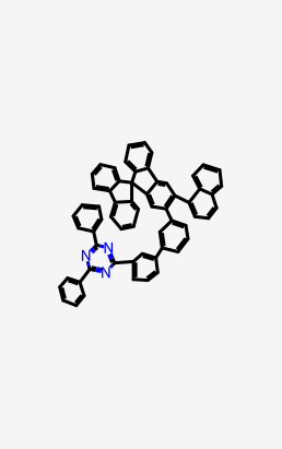 c1ccc(-c2nc(-c3ccccc3)nc(-c3cccc(-c4cccc(-c5cc6c(cc5-c5cccc7ccccc57)-c5ccccc5C65c6ccccc6-c6ccccc65)c4)c3)n2)cc1